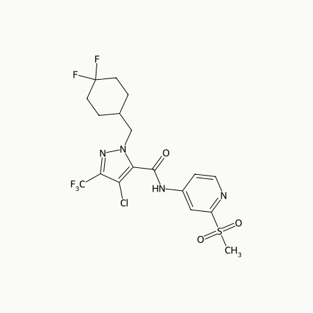 CS(=O)(=O)c1cc(NC(=O)c2c(Cl)c(C(F)(F)F)nn2CC2CCC(F)(F)CC2)ccn1